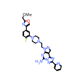 COCc1nc(-c2ccc(F)c(N3CCN(CCn4ncc5c4nc(N)n4nc(-c6ccccn6)nc54)CC3)c2)co1